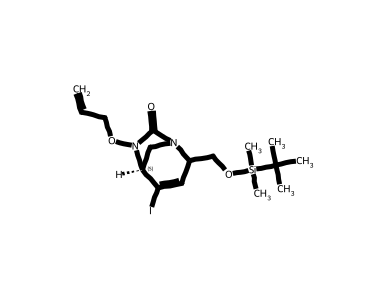 C=CCON1C(=O)N2C[C@H]1C(I)=CC2CO[Si](C)(C)C(C)(C)C